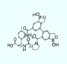 Cc1ccc([C@H](CC(=O)O)NC(=O)[C@@H]2CCCN2C(=O)c2cc3c(cc2-c2cc(C(N)=O)cc4c2COB4O)COB3O)cc1